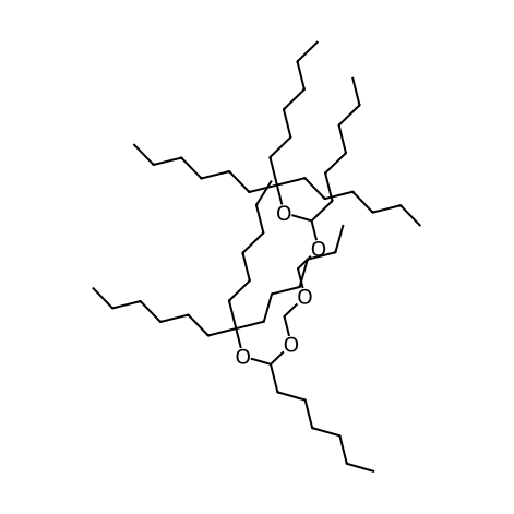 CCCCCCC(OCOCOC(CCCCCC)OC(CCCCCC)(CCCCCC)CCCCCC)OC(CCCCCC)(CCCCCC)CCCCCC